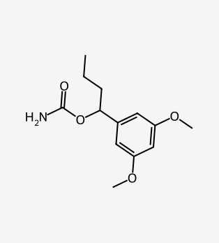 CCCC(OC(N)=O)c1cc(OC)cc(OC)c1